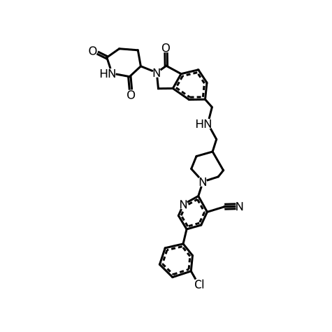 N#Cc1cc(-c2cccc(Cl)c2)cnc1N1CCC(CNCc2ccc3c(c2)CN(C2CCC(=O)NC2=O)C3=O)CC1